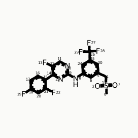 CS(=O)(=O)Cc1cc(Nc2ncc(F)c(-c3ccc(F)cc3F)n2)cc(C(F)(F)F)c1